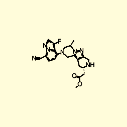 COC(=O)C[C@@H]1Cc2c(nn3c2CN(c2ccc(C#N)n4ncc(F)c24)C[C@H]3C)CN1